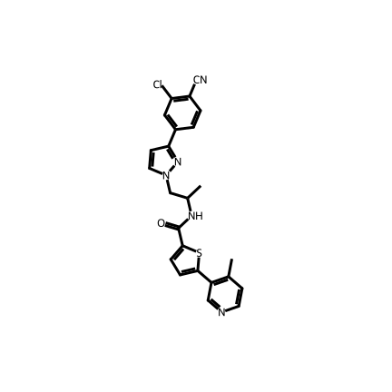 Cc1ccncc1-c1ccc(C(=O)NC(C)Cn2ccc(-c3ccc(C#N)c(Cl)c3)n2)s1